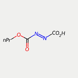 CCCOC(=O)N=NC(=O)O